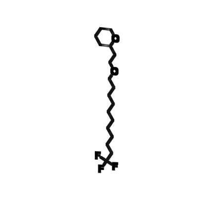 FC(F)(F)CCCCCCCCCCOCCC1CCCCO1